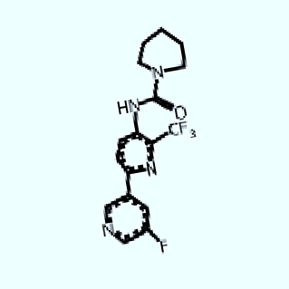 O=C(Nc1ccc(-c2cncc(F)c2)nc1C(F)(F)F)N1CCCCC1